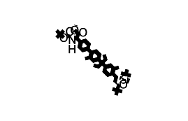 CCC(CC)(c1ccc(CC[C@@H](O[Si](C)(C)C(C)(C)C)C(C)(C)C)c(C)c1)c1ccc(-c2ccc(C(NC(=O)OC(C)(C)C)C(=O)OC)cc2)c(C)c1